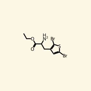 CCOC(=O)C(N)Cc1cc(Br)sc1Br